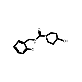 O=C(NCc1ccccc1Cl)N1CCC(O)CC1